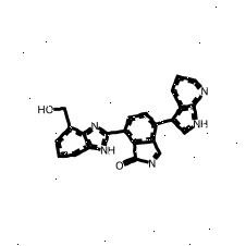 O=C1N=Cc2c(-c3c[nH]c4ncccc34)ccc(-c3nc4c(CO)cccc4[nH]3)c21